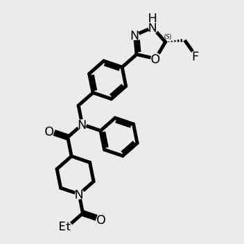 CCC(=O)N1CCC(C(=O)N(Cc2ccc(C3=NN[C@H](CF)O3)cc2)c2ccccc2)CC1